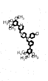 COc1cc(-c2cccc(CN(c3ccc(Cl)cc3)C3CCN(Cc4ccnc(-c5cc(OC)c(OC)c(OC)c5)c4)CC3)c2)cc(OC)c1OC